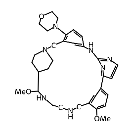 COc1ccc2cc1CNCCNC(OC)C1CCN(CC1)Cc1cc(ccc1N1CCOCC1)Nc1nccc-2n1